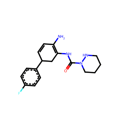 NC1=C(NC(=O)N2CCCCN2)CC(c2ccc(F)cc2)C=C1